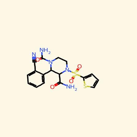 N#Cc1ccccc1C1C(C(N)=O)N(S(=O)(=O)c2cccs2)CCN1C(N)=O